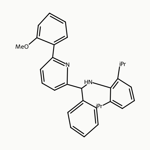 COc1ccccc1-c1cccc(C(Nc2c(C(C)C)cccc2C(C)C)c2ccccc2)n1